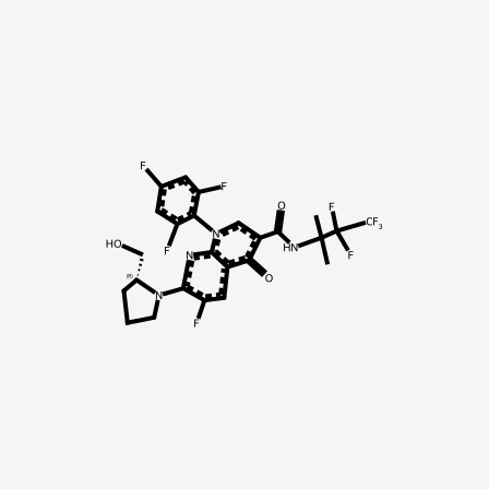 CC(C)(NC(=O)c1cn(-c2c(F)cc(F)cc2F)c2nc(N3CCC[C@@H]3CO)c(F)cc2c1=O)C(F)(F)C(F)(F)F